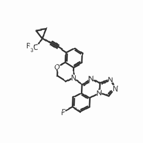 Fc1ccc2c(c1)c(N1CCOc3c(C#CC4(C(F)(F)F)CC4)cccc31)nc1nncn12